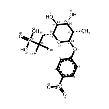 C[C@@H]1[C@@H](Oc2ccc([N+](=O)[O-])cc2)O[C@H](CC(F)(F)P(=O)(O)O)[C@@H](O)[C@@H]1O